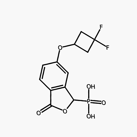 O=C1OC(P(=O)(O)O)c2cc(OC3CC(F)(F)C3)ccc21